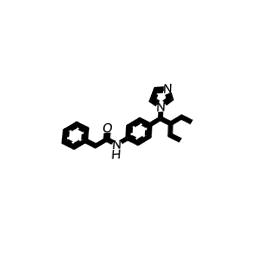 CCC(CC)C(c1ccc(NC(=O)Cc2ccccc2)cc1)n1ccnc1